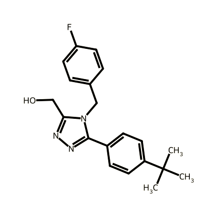 CC(C)(C)c1ccc(-c2nnc(CO)n2Cc2ccc(F)cc2)cc1